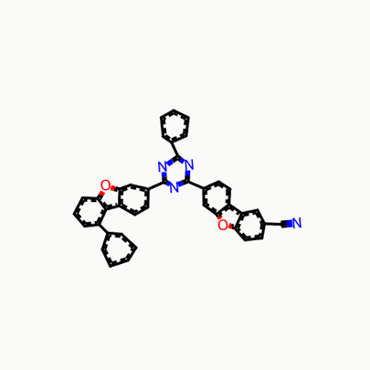 N#Cc1ccc2oc3cc(-c4nc(-c5ccccc5)nc(-c5ccc6c(c5)oc5cccc(-c7ccccc7)c56)n4)ccc3c2c1